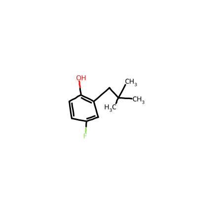 CC(C)(C)Cc1cc(F)ccc1O